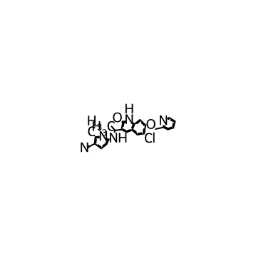 Cc1nc(NC(C)c2cc3cc(Cl)c(OCc4ccccn4)cc3[nH]c2=O)ccc1C#N